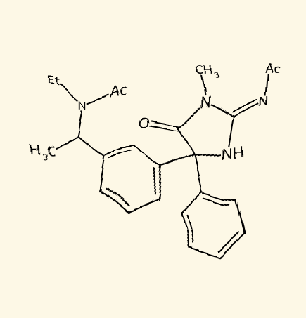 CCN(C(C)=O)C(C)c1cccc(C2(c3ccccc3)N/C(=N/C(C)=O)N(C)C2=O)c1